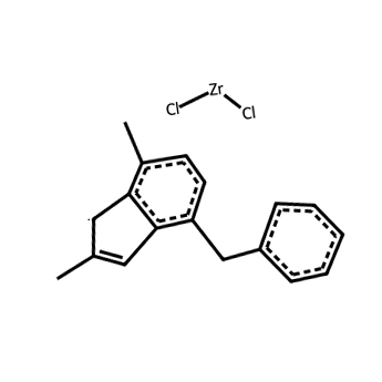 CC1=Cc2c(Cc3ccccc3)ccc(C)c2[CH]1.[Cl][Zr][Cl]